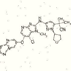 Cn1c(Nc2cc(C(C)(C)C#N)n([C@H]3CCOC3)n2)nc2ncc(Oc3cnc4ccnn4c3)c(Cl)c21